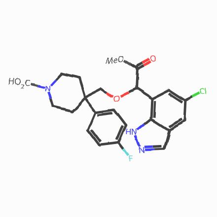 COC(=O)C(OCC1(c2ccc(F)cc2)CCN(C(=O)O)CC1)c1cc(Cl)cc2cn[nH]c12